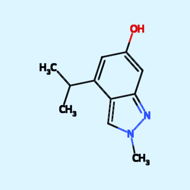 CC(C)c1cc(O)cc2nn(C)cc12